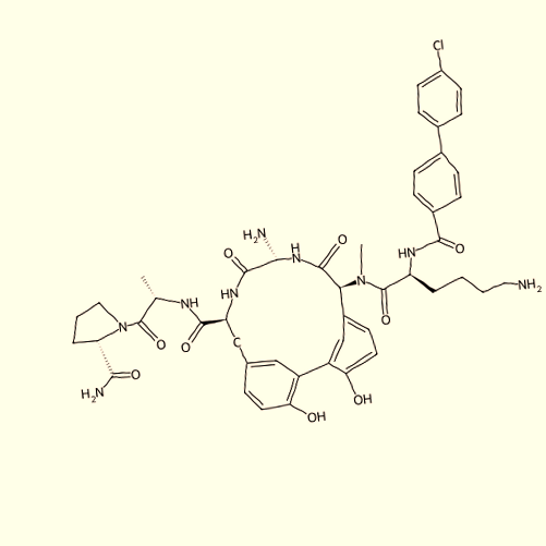 C[C@H](NC(=O)[C@@H]1Cc2ccc(O)c(c2)-c2cc(ccc2O)[C@H](N(C)C(=O)[C@H](CCCCN)NC(=O)c2ccc(-c3ccc(Cl)cc3)cc2)C(=O)N[C@@H](N)C(=O)N1)C(=O)N1CCC[C@H]1C(N)=O